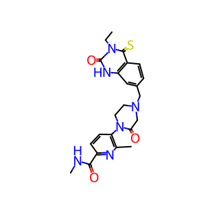 CCn1c(=O)[nH]c2cc(CN3CCN(c4ccc(C(=O)NC)nc4C)C(=O)C3)ccc2c1=S